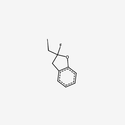 FC1(CI)Cc2ccccc2O1